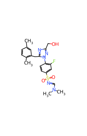 Cc1ccc(C)c(Cc2nc(CO)nn2-c2ccc(S(=O)(=O)/N=C/N(C)C)cc2F)c1